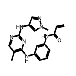 C=CC(=O)Nc1cccc(Nc2nc(Nc3cnn(C)c3)ncc2C)c1